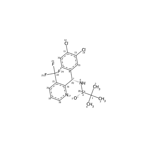 CC(C)(C)[S@+]([O-])N[C@@H](c1ccc(Cl)c(Cl)c1)c1ncccc1C(F)(F)F